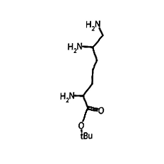 CC(C)(C)OC(=O)C(N)CCCC(N)CN